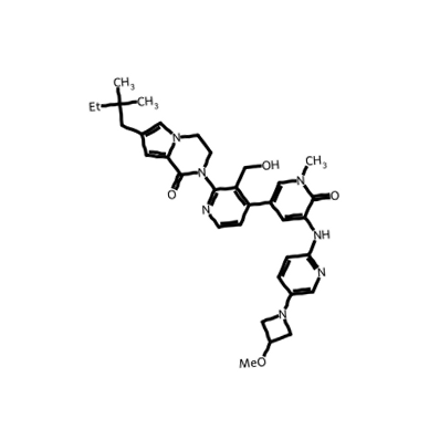 CCC(C)(C)Cc1cc2n(c1)CCN(c1nccc(-c3cc(Nc4ccc(N5CC(OC)C5)cn4)c(=O)n(C)c3)c1CO)C2=O